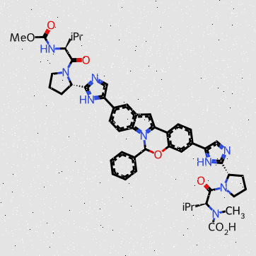 COC(=O)N[C@H](C(=O)N1CCC[C@H]1c1ncc(-c2ccc3c(c2)cc2n3C(c3ccccc3)Oc3cc(-c4cnc([C@@H]5CCCN5C(=O)[C@H](C(C)C)N(C)C(=O)O)[nH]4)ccc3-2)[nH]1)C(C)C